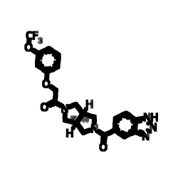 O=C(COc1cccc(OC(F)(F)F)c1)N1C[C@@H]2CN(C(=O)c3ccc4[nH]nnc4c3)C[C@@H]2C1